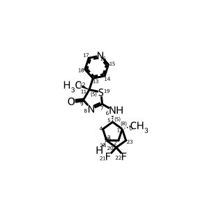 C[C@]12C[C@H](C[C@@H]1NC1=NC(=O)[C@](C)(c3ccncc3)S1)C(F)(F)C2